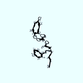 CCCCN(CCOC(=O)Oc1cc(Cl)ccc1Cl)c1ccccc1